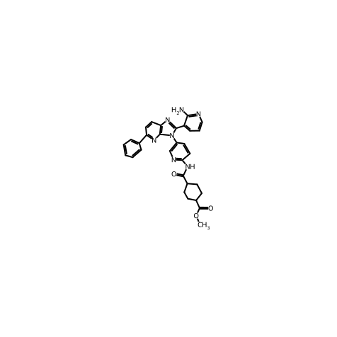 COC(=O)C1CCC(C(=O)Nc2ccc(-n3c(-c4cccnc4N)nc4ccc(-c5ccccc5)nc43)cn2)CC1